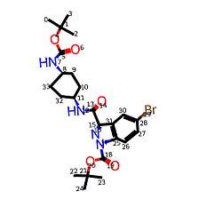 CC(C)(C)OC(=O)N[C@H]1CC[C@@H](NC(=O)c2nn(C(=O)OC(C)(C)C)c3ccc(Br)cc23)CC1